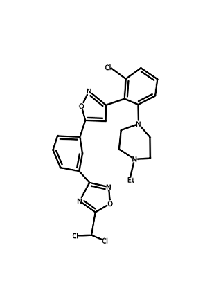 CCN1CCN(c2cccc(Cl)c2-c2cc(-c3cccc(-c4noc(C(Cl)Cl)n4)c3)on2)CC1